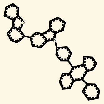 c1ccc(-c2c3ccccc3c(-c3ccc(-n4c5ccccc5c5cc(-c6cccc7c6sc6ccccc67)ccc54)cc3)c3ccccc23)cc1